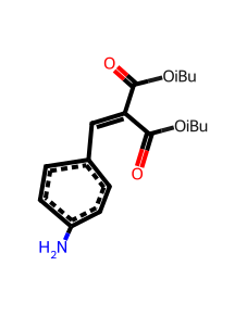 CC(C)COC(=O)C(=Cc1ccc(N)cc1)C(=O)OCC(C)C